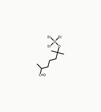 CC[Si](CC)(CC)OC(C)(C)CCCC(C)C=O